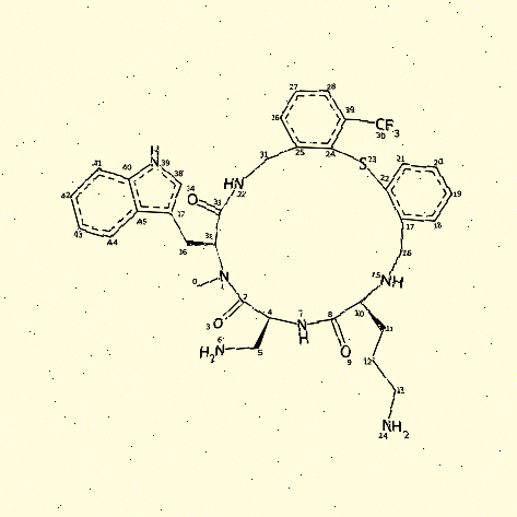 CN1C(=O)[C@H](CN)NC(=O)[C@H](CCCN)NCc2ccccc2Sc2c(cccc2C(F)(F)F)CNC(=O)[C@@H]1Cc1c[nH]c2ccccc12